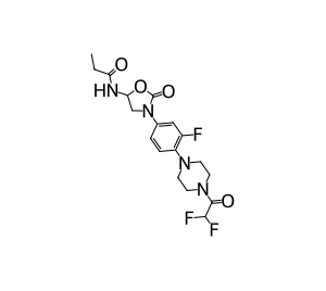 CCC(=O)NC1CN(c2ccc(N3CCN(C(=O)C(F)F)CC3)c(F)c2)C(=O)O1